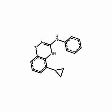 c1ccc(NC2=NSc3cccc(C4CC4)c3N2)cc1